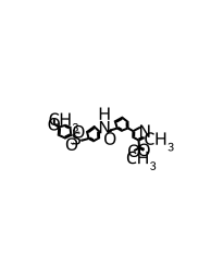 COC(=O)c1cc(-c2cccc(C(=O)Nc3ccc(CS(=O)(=O)c4ccc(OC)cc4)cc3)c2)cnc1C